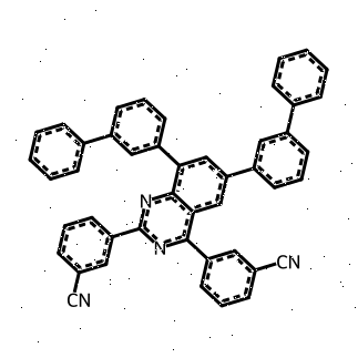 N#Cc1cccc(-c2nc(-c3cccc(C#N)c3)c3cc(-c4cccc(-c5ccccc5)c4)cc(-c4cccc(-c5ccccc5)c4)c3n2)c1